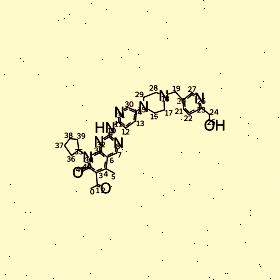 CC(=O)c1c(C)c2cnc(Nc3ccc(N4CCN(Cc5ccc(CO)nc5)CC4)cn3)nc2n(C2CCCC2)c1=O